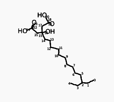 CCC(CC)CCCCCCCCCCC(O)(CC(=O)O)CC(=O)O